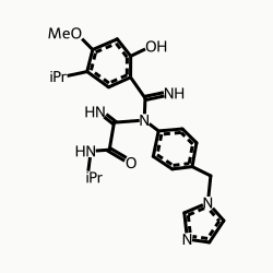 COc1cc(O)c(C(=N)N(C(=N)C(=O)NC(C)C)c2ccc(Cn3ccnc3)cc2)cc1C(C)C